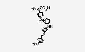 CC(C)(C)c1cnc(CSc2cnc(N[C@@H]3CCCN(C(=O)N4CCC(N(C(=O)O)C(C)(C)C)CC4)C3)s2)o1